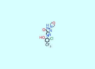 O=c1[nH]c(N2CCOCC2)nc2nn(-c3c(O)cc(C(F)(F)F)cc3Cl)cc12